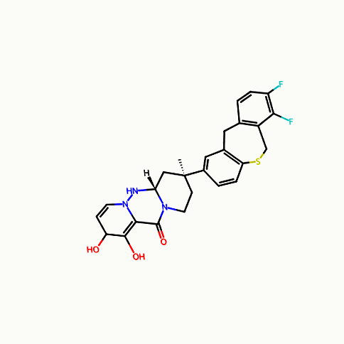 C[C@]1(c2ccc3c(c2)Cc2ccc(F)c(F)c2CS3)CCN2C(=O)C3=C(O)C(O)C=CN3N[C@@H]2C1